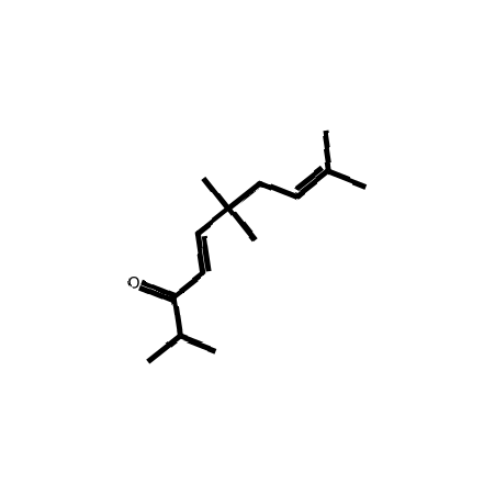 CC(C)=CCC(C)(C)C=CC(=O)C(C)C